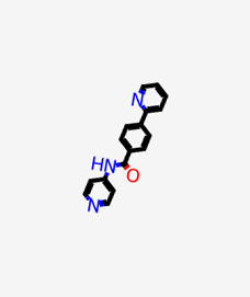 O=C(Nc1ccncc1)c1ccc(-c2ccccn2)cc1